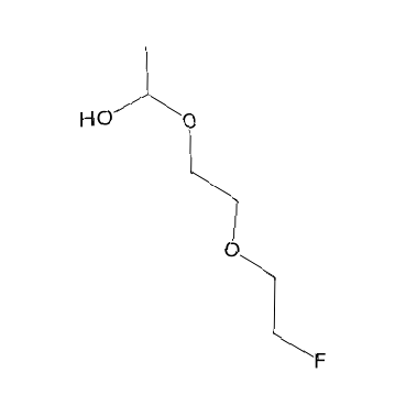 CC(O)OCCOCCF